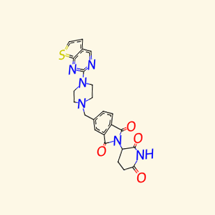 O=C1CCC(N2C(=O)c3ccc(CN4CCN(c5ncc6ccsc6n5)CC4)cc3C2=O)C(=O)N1